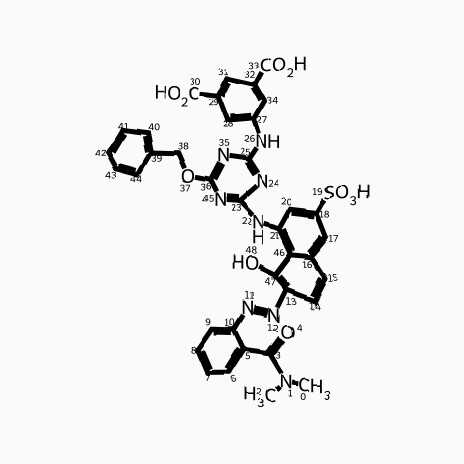 CN(C)C(=O)c1ccccc1N=Nc1ccc2cc(S(=O)(=O)O)cc(Nc3nc(Nc4cc(C(=O)O)cc(C(=O)O)c4)nc(OCc4ccccc4)n3)c2c1O